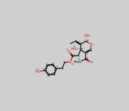 C/C=C1/[C@H](O)OC=C(C(=O)OC)[C@@]1(O)CC(=O)OCCc1ccc(O)cc1